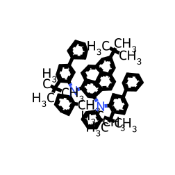 Cc1ccccc1N(c1cc(-c2ccccc2)ccc1C(C)(C)C)c1cc(N(c2ccccc2C)c2cc(-c3ccccc3)ccc2C(C)(C)C)c2ccc3cc(C(C)(C)C)cc4ccc1c2c43